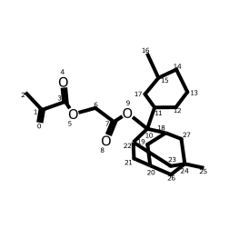 C=C(C)C(=O)OCC(=O)OC1(C2CCCC(C)C2)C2CC3CC1CC(C)(C3)C2